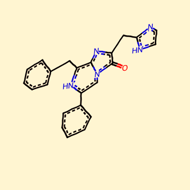 O=c1c(Cc2ncc[nH]2)nc2c(Cc3ccccc3)[nH]c(-c3ccccc3)cn1-2